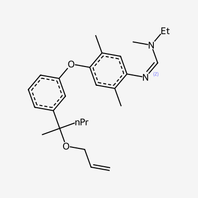 C=CCOC(C)(CCC)c1cccc(Oc2cc(C)c(/N=C\N(C)CC)cc2C)c1